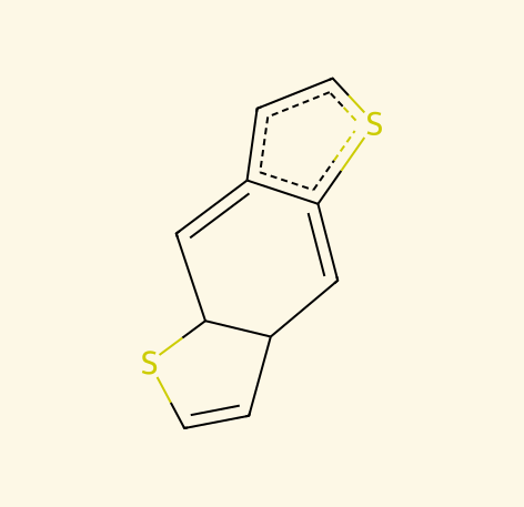 C1=CC2C=c3sccc3=CC2S1